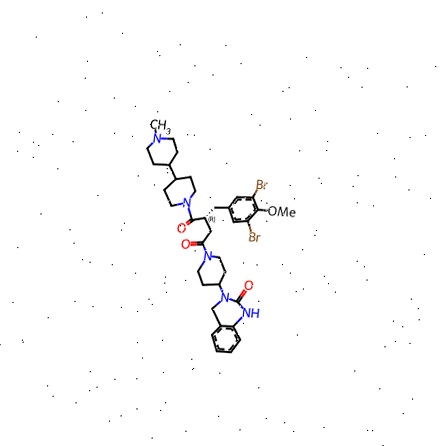 COc1c(Br)cc(C[C@H](CC(=O)N2CCC(N3Cc4ccccc4NC3=O)CC2)C(=O)N2CCC(C3CCN(C)CC3)CC2)cc1Br